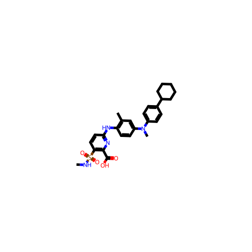 CNS(=O)(=O)c1ccc(Nc2ccc(N(C)c3ccc(C4CCCCC4)cc3)cc2C)nc1C(=O)O